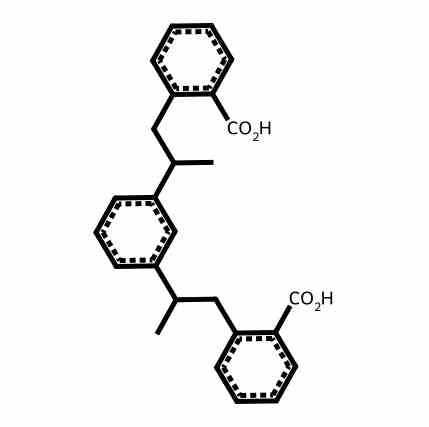 CC(Cc1ccccc1C(=O)O)c1cccc(C(C)Cc2ccccc2C(=O)O)c1